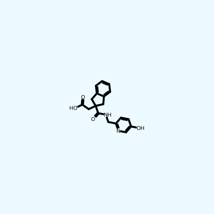 O=C(O)CC1(C(=O)NCc2ccc(O)cn2)Cc2ccccc2C1